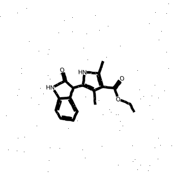 CCOC(=O)c1c(C)[nH]c(C2C(=O)Nc3ccccc32)c1C